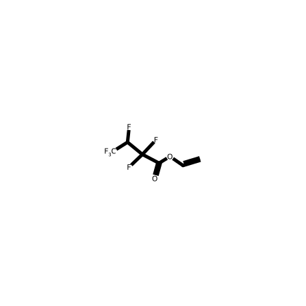 C=COC(=O)C(F)(F)C(F)C(F)(F)F